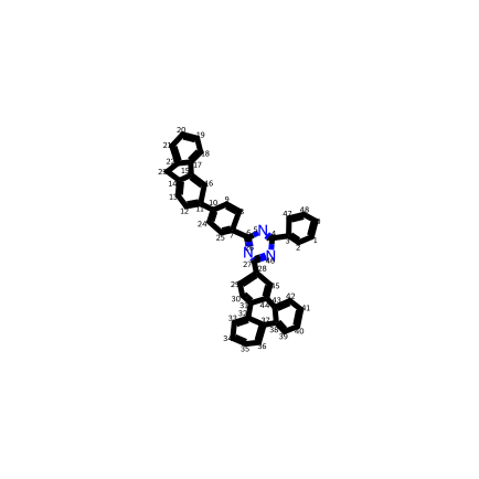 c1ccc(-c2nc(-c3ccc(-c4ccc5c(c4)-c4ccccc4C5)cc3)nc(-c3ccc4c5ccccc5c5ccccc5c4c3)n2)cc1